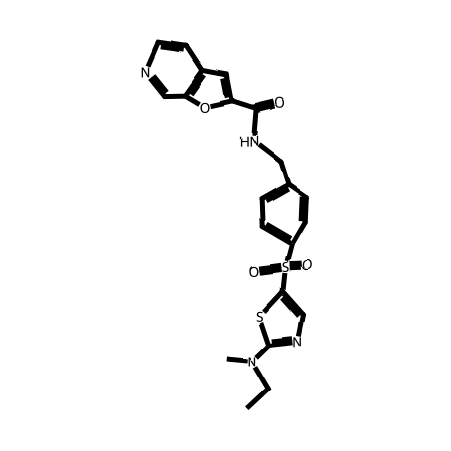 CCN(C)c1ncc(S(=O)(=O)c2ccc(CNC(=O)c3cc4ccncc4o3)cc2)s1